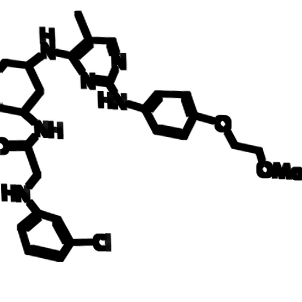 COCCOc1ccc(Nc2ncc(C)c(NC3CCCC(NC(=O)CNc4cccc(Cl)c4)C3)n2)cc1